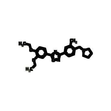 CCOc1ccc(-c2nc(-c3ccc(CN4CCCC4)c(C)c3)no2)cc1OCC